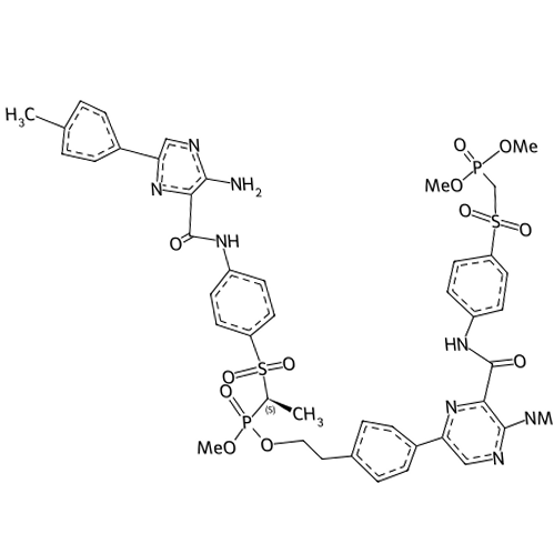 CNc1ncc(-c2ccc(CCOP(=O)(OC)[C@H](C)S(=O)(=O)c3ccc(NC(=O)c4nc(-c5ccc(C)cc5)cnc4N)cc3)cc2)nc1C(=O)Nc1ccc(S(=O)(=O)CP(=O)(OC)OC)cc1